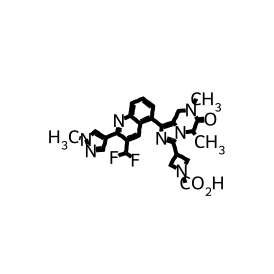 CC1C(=O)N(C)Cc2c(-c3cccc4nc(-c5cnn(C)c5)c(C(F)F)cc34)nc(C3CN(C(=O)O)C3)n21